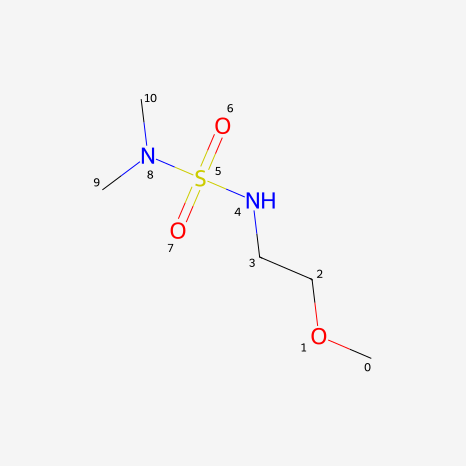 COCCNS(=O)(=O)N(C)C